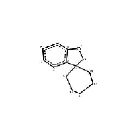 c1ccc2c(c1)OCC21CCCCC1